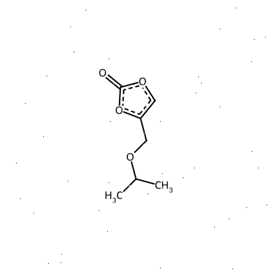 CC(C)OCc1coc(=O)o1